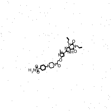 C=CCn1c(=O)c2[nH]c(-c3cc(OCC(=O)N4CCN(c5ccc(S(N)(=O)=O)cc5)CC4)nn3C)nc2n(CC=C)c1=O